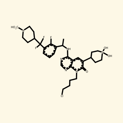 CC(Nc1ncnc2c1cc(C1CCS(O)(O)CC1)c(=O)n2CCCCCl)c1cccc(C(F)(F)C2CCN(C(=O)O)CC2)c1F